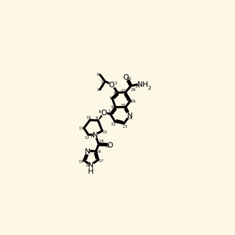 CC(C)Oc1cc2c(O[C@@H]3CCCN(C(=O)c4c[nH]cn4)C3)ccnc2cc1C(N)=O